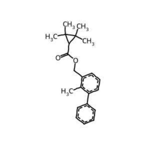 Cc1c(COC(=O)C2C(C)(C)C2(C)C)cccc1-c1ccccc1